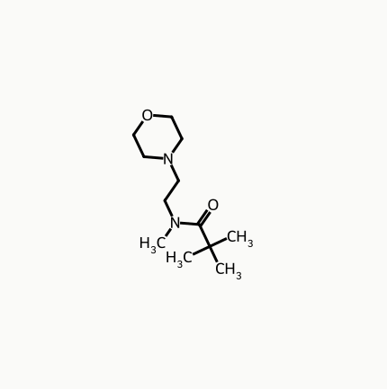 CN(CCN1CCOCC1)C(=O)C(C)(C)C